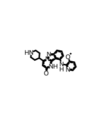 COc1cccnc1Nc1cccc2nn3c(C4CCNCC4)cc(=O)[nH]c3c12